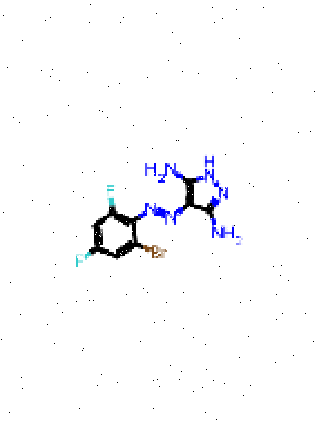 Nc1n[nH]c(N)c1N=Nc1c(F)cc(F)cc1Br